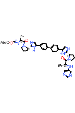 COO/C=N/[C@H](C(=O)N1CCC[C@H]1c1ncc(-c2ccc(-c3ccc(-c4cnc([C@@H]5CCCN5C(=O)[C@@H](Nc5cncnc5)C(C)C)[nH]4)cc3)cc2)[nH]1)C(C)C